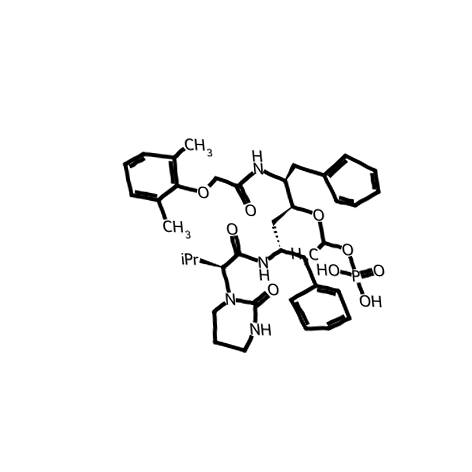 Cc1cccc(C)c1OCC(=O)N[C@@H](Cc1ccccc1)[C@H](C[C@H](Cc1ccccc1)NC(=O)[C@H](C(C)C)N1CCCNC1=O)OC(C)OP(=O)(O)O